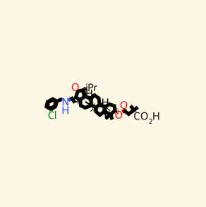 CC(C)C1=C2[C@H]3CC[C@@H]4[C@@]5(C)CC[C@H](OC(=O)CC(C)(C)C(=O)O)C6(C)C[C@]65CC[C@@]4(C)[C@]3(C)CC[C@@]2(CCNCc2cccc(Cl)c2)CC1=O